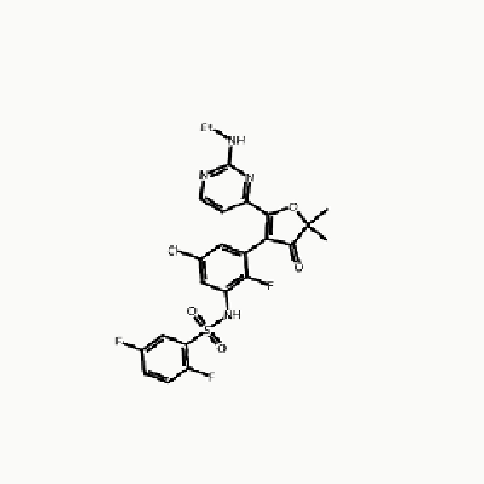 CCNc1nccc(C2=C(c3cc(Cl)cc(NS(=O)(=O)c4cc(F)ccc4F)c3F)C(=O)C(C)(C)O2)n1